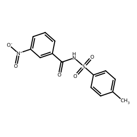 Cc1ccc(S(=O)(=O)NC(=O)c2cccc([N+](=O)[O-])c2)cc1